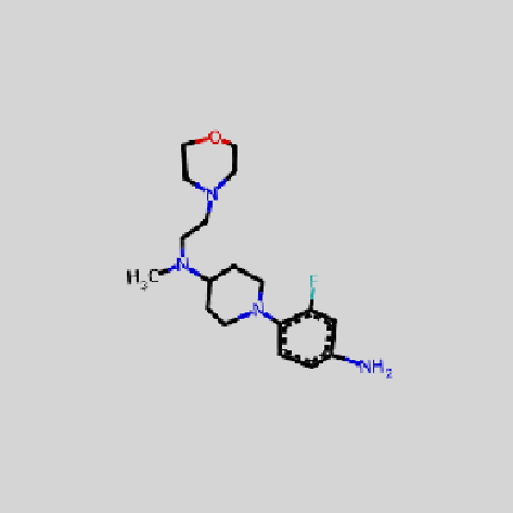 CN(CCN1CCOCC1)C1CCN(c2ccc(N)cc2F)CC1